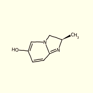 C[C@@H]1CN2C=C(O)C=CC2=N1